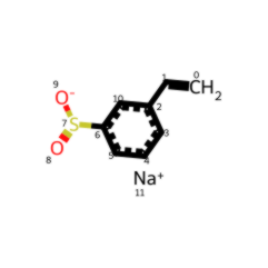 C=Cc1cccc(S(=O)[O-])c1.[Na+]